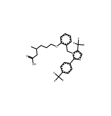 CC(CCCOc1ccccc1Cn1c(C(F)(F)F)cnc1-c1ccc(C(F)(F)F)cc1)CC(=O)O